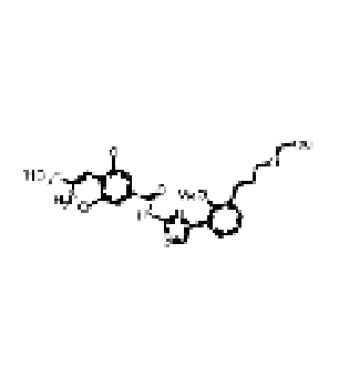 COc1c(CCCOCC(C)(C)C)cccc1-c1csc(NC(=O)c2cc(Cl)c(C=C(C)C(=O)O)c(Cl)c2)n1